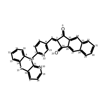 O=C1C(=Cc2ccc(N3c4ccccc4Sc4cccnc43)nc2)C(=O)c2cc3ccccc3cc21